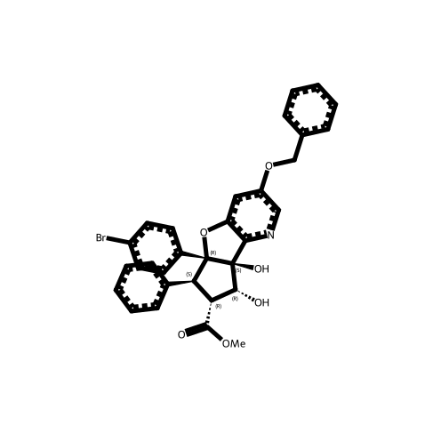 COC(=O)[C@H]1[C@@H](O)[C@@]2(O)c3ncc(OCc4ccccc4)cc3O[C@@]2(c2ccc(Br)cc2)[C@@H]1c1ccccc1